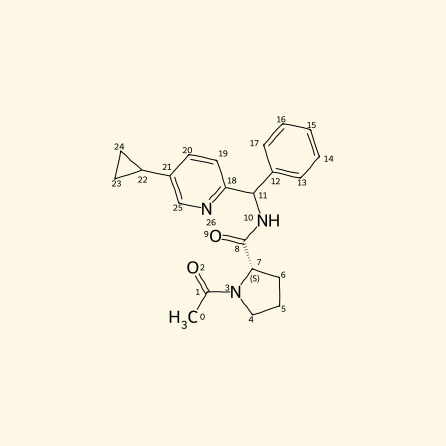 CC(=O)N1CCC[C@H]1C(=O)NC(c1ccccc1)c1ccc(C2CC2)cn1